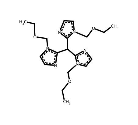 CCOCn1ccnc1C(c1nccn1COCC)c1nccn1COCC